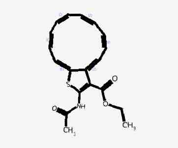 CCOC(=O)c1c(NC(C)=O)sc2/c1=C\C=C/C=C\C=C/C=C\C=2